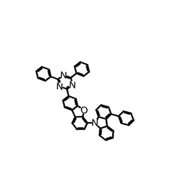 c1ccc(-c2nc(-c3ccccc3)nc(-c3ccc4c(c3)oc3c(-n5c6ccccc6c6c(-c7ccccc7)cccc65)cccc34)n2)cc1